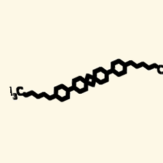 CCCCCCC1CCC(C2CCC3(CC2)CC2(CCC(C4CCC(CCCCCC)CC4)CC2)C3)CC1